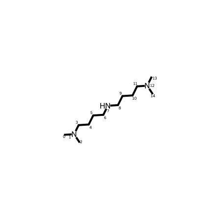 CN(C)CCCCNCCCCN(C)C